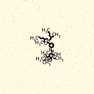 CCCCC(CC)CN(CC(CC)CCCC)C(=O)c1cccc(/N=N/c2c(C)c(C(=O)NC(C)C)c(=O)n(CC)c2O)c1